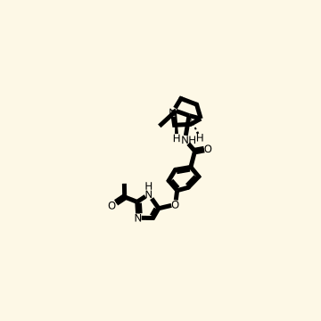 CC(=O)c1ncc(Oc2ccc(C(=O)N[C@@H]3C4CCN(CC4)[C@H]3C)cc2)[nH]1